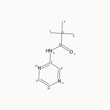 CC(C)(C)C(=O)Nc1cnccn1